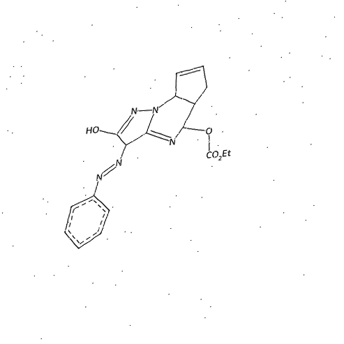 CCOC(=O)OC1N=C2C(N=Nc3ccccc3)C(O)=NN2C2C=CCC12